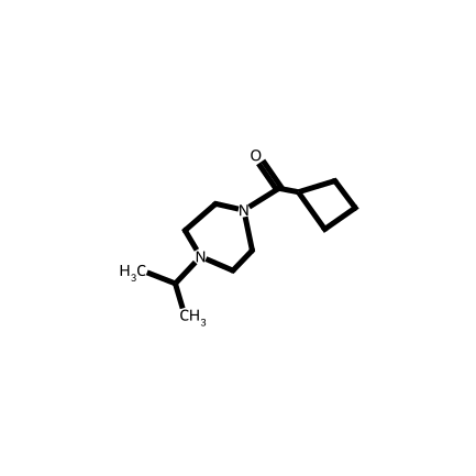 CC(C)N1CCN(C(=O)C2CCC2)CC1